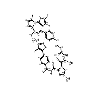 Cc1ncsc1-c1ccc([C@H](C)NC(=O)[C@@H]2C[C@@H](O)CN2C(=O)[C@@H](NC(=O)CCCc2ccc(C3=N[C@@H](CC(=O)O)c4nnc(C)n4-c4sc(C)c(C)c43)cc2)C(C)(C)C)cc1